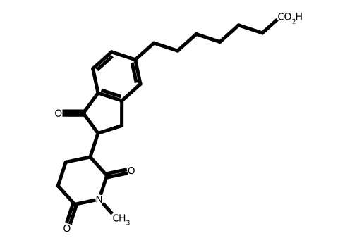 CN1C(=O)CCC(C2Cc3cc(CCCCCCC(=O)O)ccc3C2=O)C1=O